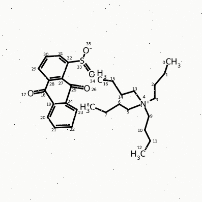 CCCC[N+](CCCC)(CCCC)CCCC.O=C1c2ccccc2C(=O)c2c1cccc2S(=O)[O-]